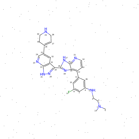 CN(C)CCNc1cc(F)cc(-c2ccnc3[nH]c(-c4n[nH]c5ncc(C6=CCNCC6)cc45)nc23)c1